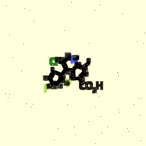 Cc1cc(C(=O)O)cc2c(-c3ccc(F)cc3F)c(Cl)cnc12